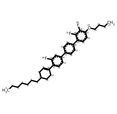 CCCCCCCC1CC=C(c2ccc(-c3ccc(-c4ccc(OCCCC)c(F)c4F)cc3)cc2F)CC1